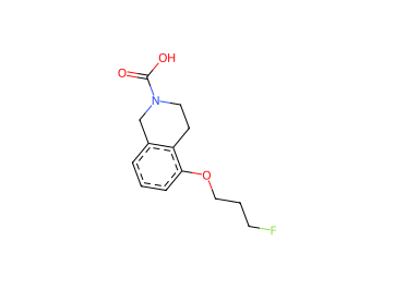 O=C(O)N1CCc2c(cccc2OCCCF)C1